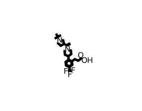 C=C(C1CCN(C(C)(C)C)C1)N1CCC(c2ccc(C(F)(F)F)cc2CCC(=O)O)CC1